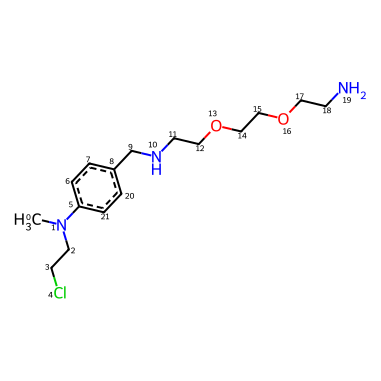 CN(CCCl)c1ccc(CNCCOCCOCCN)cc1